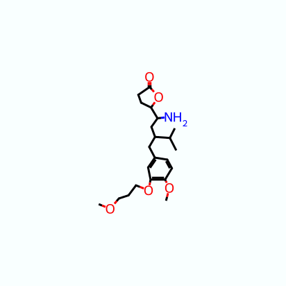 COCCCOc1cc(CC(CC(N)C2CCC(=O)O2)C(C)C)ccc1OC